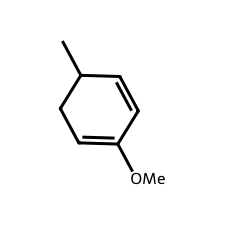 COC1=CCC(C)C=C1